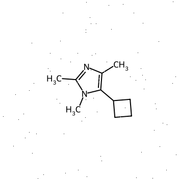 Cc1nc(C)n(C)c1C1CCC1